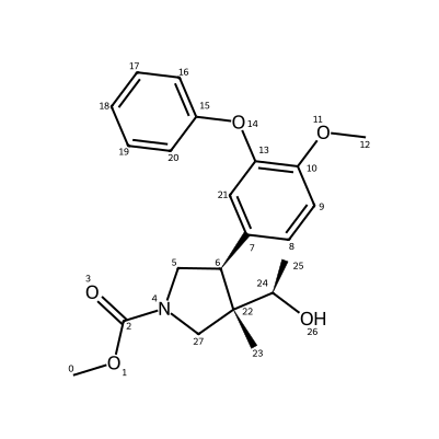 COC(=O)N1C[C@@H](c2ccc(OC)c(Oc3ccccc3)c2)[C@](C)([C@@H](C)O)C1